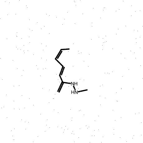 C=C(/C=C/C=C\C)NNC